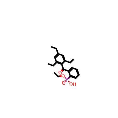 CCOP(=O)(O)c1ccccc1C(=O)c1c(CC)cc(CC)cc1CC